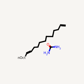 C=CCCCCCCCCC=CCCCCCCCC.NC(N)=O